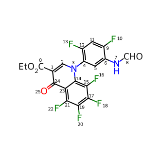 CCOC(=O)c1cn(-c2cc(NC=O)c(F)cc2F)c2c(F)c(F)c(F)c(F)c2c1=O